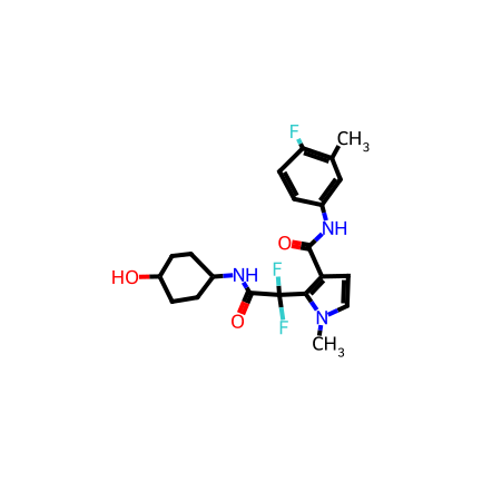 Cc1cc(NC(=O)c2ccn(C)c2C(F)(F)C(=O)NC2CCC(O)CC2)ccc1F